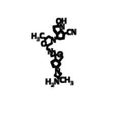 CC1CN(c2ccc(C#N)c3nc(O)ccc23)CC(CN2CC3(C2)OCc2cc(N4CC(C)(N)C4)ccc23)O1